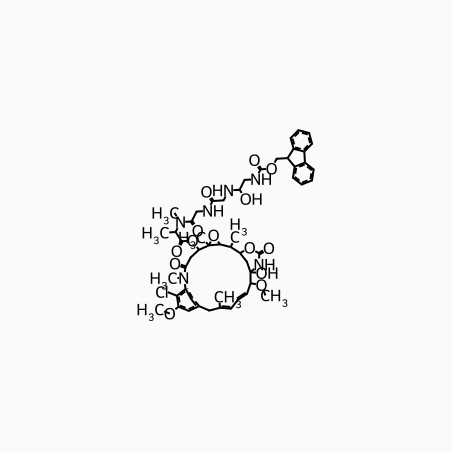 COc1cc2cc(c1Cl)N(C)C(=O)CC(OC(=O)C(C)N(C)C(=O)CNC(=O)CNC(O)CNC(=O)OCC1c3ccccc3-c3ccccc31)C1(C)OC1C(C)C1CC(O)(NC(=O)O1)C(OC)/C=C/C=C(\C)C2